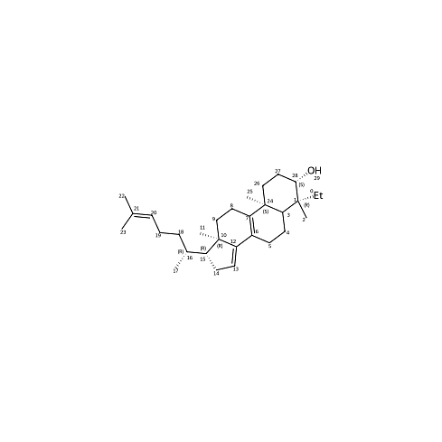 CC[C@]1(C)C2CCC3=C(CC[C@@]4(C)C3=CC[C@@H]4[C@H](C)CCC=C(C)C)[C@@]2(C)CC[C@@H]1O